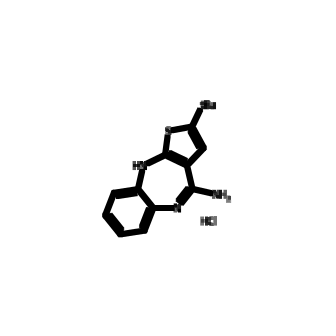 CC(C)(C)c1cc2c(s1)Nc1ccccc1N=C2N.Cl